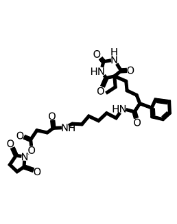 CCC1(CCCC(C(=O)NCCCCCCNC(=O)CCC(=O)ON2C(=O)CCC2=O)c2ccccc2)C(=O)NC(=O)NC1=O